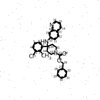 Cc1c(Cl)cccc1C1(Nc2ccc3cccnc3c2)CCN(C(=O)OCc2ccccc2)CC1